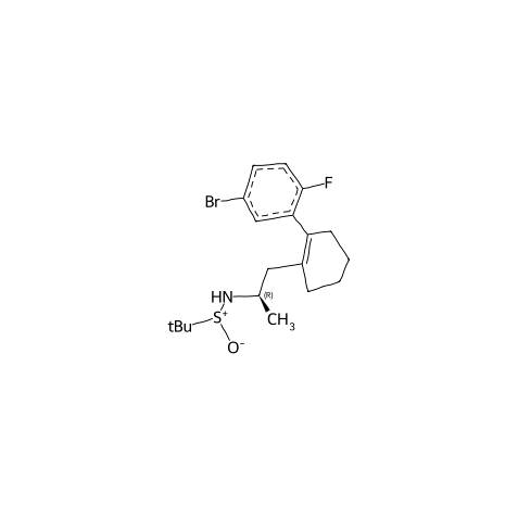 C[C@H](CC1=C(c2cc(Br)ccc2F)CCCC1)N[S+]([O-])C(C)(C)C